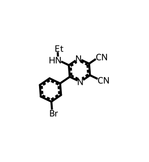 CCNc1nc(C#N)c(C#N)nc1-c1cccc(Br)c1